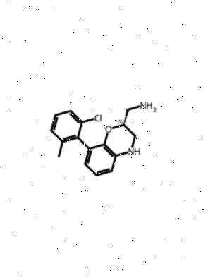 Cc1cccc(Cl)c1-c1cccc2c1O[C@@H](CN)CN2